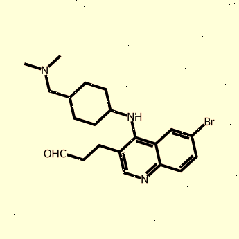 CN(C)CC1CCC(Nc2c(CCC=O)cnc3ccc(Br)cc23)CC1